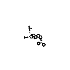 Cc1oc(=O)oc1COC(=O)N[C@]1(C)[C@@H](OC(=O)C2CC2)CC[C@@]2(C)[C@H]1CC[C@]1(C)[C@@H]2C(=O)C=C2[C@@H]3C[C@@](C)(C(=O)OC(c4ccccc4)c4ccccc4)CC[C@]3(C)CC[C@]21C